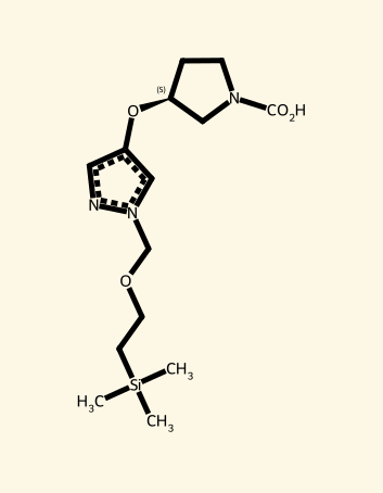 C[Si](C)(C)CCOCn1cc(O[C@H]2CCN(C(=O)O)C2)cn1